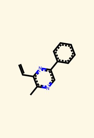 C=Cc1nc(-c2ccccc2)cnc1C